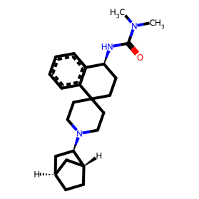 CN(C)C(=O)N[C@H]1CCC2(CCN([C@@H]3C[C@@H]4CC[C@@H]3C4)CC2)c2ccccc21